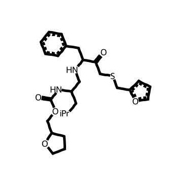 CC(C)CC(CNC(Cc1ccccc1)C(=O)CSCc1ccco1)NC(=O)OCC1CCCO1